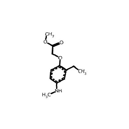 CCc1cc(NC)ccc1OCC(=O)OC